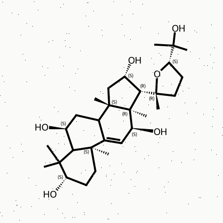 CC(C)(O)[C@@H]1CC[C@](C)([C@H]2[C@@H](O)C[C@@]3(C)C4C[C@H](O)C5C(C)(C)[C@@H](O)CC[C@]5(C)C4=C[C@H](O)[C@]23C)O1